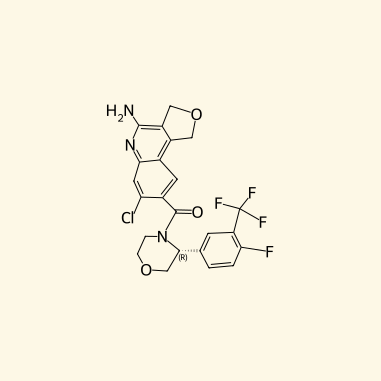 Nc1nc2cc(Cl)c(C(=O)N3CCOC[C@H]3c3ccc(F)c(C(F)(F)F)c3)cc2c2c1COC2